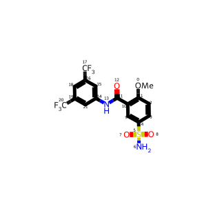 COc1ccc(S(N)(=O)=O)cc1C(=O)Nc1cc(C(F)(F)F)cc(C(F)(F)F)c1